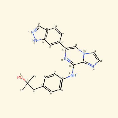 CC(C)(O)Cc1ccc(Nc2nc(-c3ccc4cn[nH]c4c3)cn3ccnc23)cc1